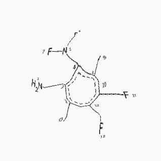 Cc1c(N)c(N(F)F)c(C)c(F)c1F